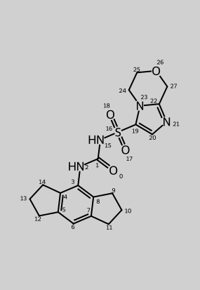 O=C(Nc1c2c(cc3c1CCC3)CCC2)NS(=O)(=O)c1cnc2n1CCOC2